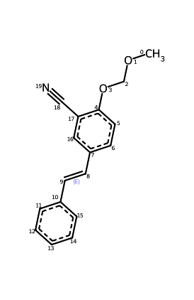 COCOc1ccc(/C=C/c2ccccc2)cc1C#N